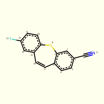 N#Cc1ccc2c(c1)Sc1ccc(F)cc1C=C2